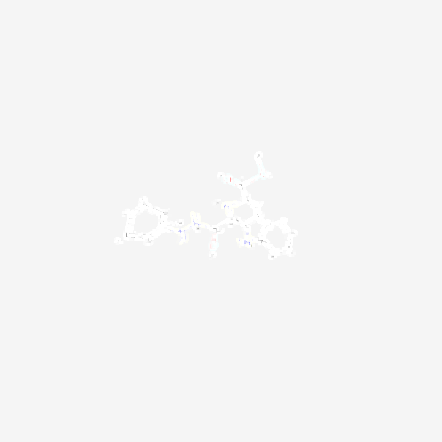 COC(=O)c1cc2c([nH]c3ccccc32)c(C(=O)NNc2ccccc2)n1